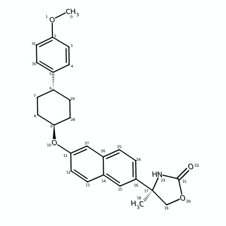 COc1ccc([C@H]2CC[C@H](Oc3ccc4cc([C@]5(C)COC(=O)N5)ccc4c3)CC2)cc1